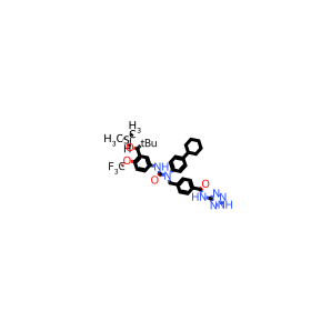 C[SiH](C)OC(c1cc(NC(=O)N(Cc2ccc(C(=O)Nc3nn[nH]n3)cc2)c2ccc(C3CCCCC3)cc2)ccc1OC(F)(F)F)C(C)(C)C